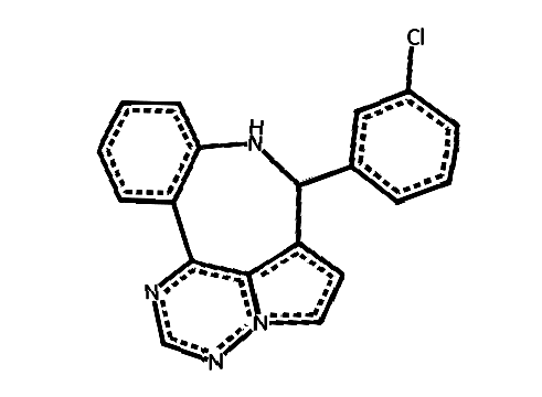 Clc1cccc(C2Nc3ccccc3-c3ncnn4ccc2c34)c1